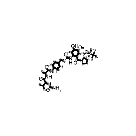 COc1cc(C(=O)N2CCC[C@H]2CO[Si](C)(C)C(C)(C)C)c(NC(=O)OCc2ccc(NC(=O)C(C)NC(=O)C(OC(N)=O)C(C)C)cc2)cc1O